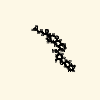 Cc1cc(Nc2ncnc3cc4c(nc23)N2CCN(C(=O)/C=C/CN(C)C)[C@@H](CO4)C2)ccc1Oc1ccn2ncnc2c1